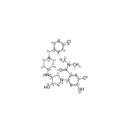 CN(C)C(=O)c1cc(Cl)c(O)cc1N1CC(O)C(NC2CCN(Cc3ccc(Cl)cc3)CC2)C1